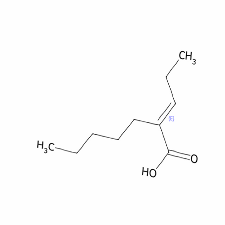 CC/C=C(\CCCCC)C(=O)O